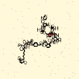 CC(C)[C@H](NC(=O)CCCCCN1C(=O)C=CC1=O)C(=O)N[C@@H](C)C(=O)Nc1ccc(COC(=O)N(C)Cc2ccccc2C(=O)Nc2nc3c(ncn3[C@@H]3O[C@@H]4CO[P@@](=O)(S)O[C@H]5C[C@H](Oc6ccncn6)C[C@@H]5CO[P@@](=O)(S)O[C@@H]3[C@@H]4O)c(=O)[nH]2)cc1